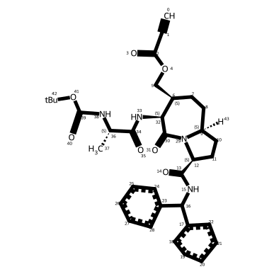 C#CC(=O)OC[C@H]1CC[C@H]2CC[C@@H](C(=O)NC(c3ccccc3)c3ccccc3)N2C(=O)[C@H]1NC(=O)[C@H](C)NC(=O)OC(C)(C)C